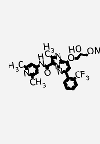 COC[C@@H](O)COc1cc(-c2ccccc2C(F)(F)F)nn2c(C(=O)Nc3cc(C)nc(C)c3)c(C)nc12